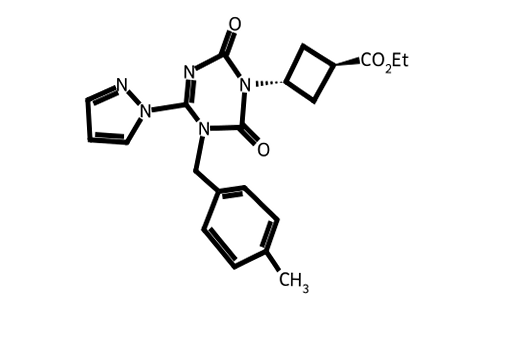 CCOC(=O)[C@H]1C[C@H](n2c(=O)nc(-n3cccn3)n(Cc3ccc(C)cc3)c2=O)C1